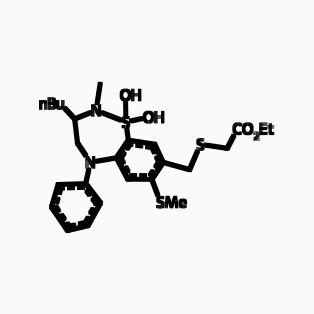 CCCCC1CN(c2ccccc2)c2cc(SC)c(CSCC(=O)OCC)cc2S(O)(O)N1C